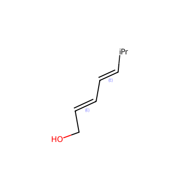 CC(C)/C=C/C=C/CO